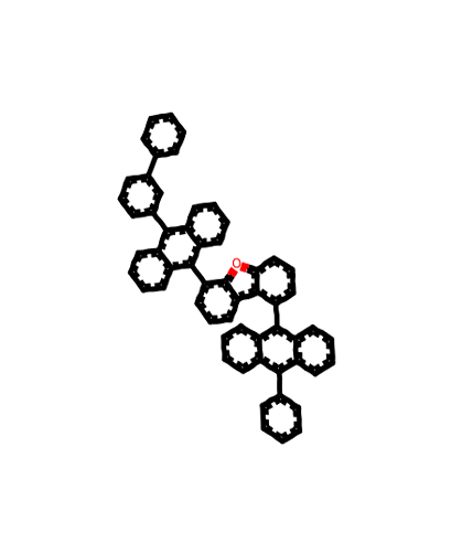 c1ccc(-c2cccc(-c3c4ccccc4c(-c4cccc5c4oc4cccc(-c6c7ccccc7c(-c7ccccc7)c7ccccc67)c45)c4ccccc34)c2)cc1